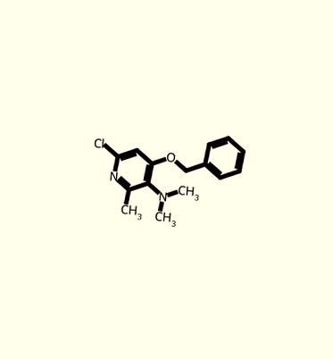 Cc1nc(Cl)cc(OCc2ccccc2)c1N(C)C